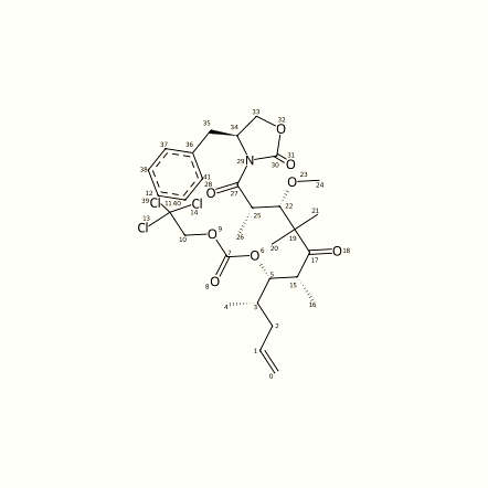 C=CC[C@H](C)[C@H](OC(=O)OCC(Cl)(Cl)Cl)[C@@H](C)C(=O)C(C)(C)[C@@H](OC)[C@H](C)C(=O)N1C(=O)OC[C@@H]1Cc1ccccc1